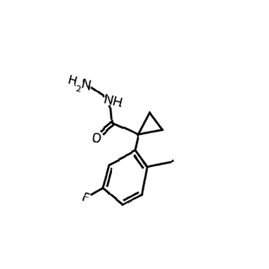 Cc1ccc(F)cc1C1(C(=O)NN)CC1